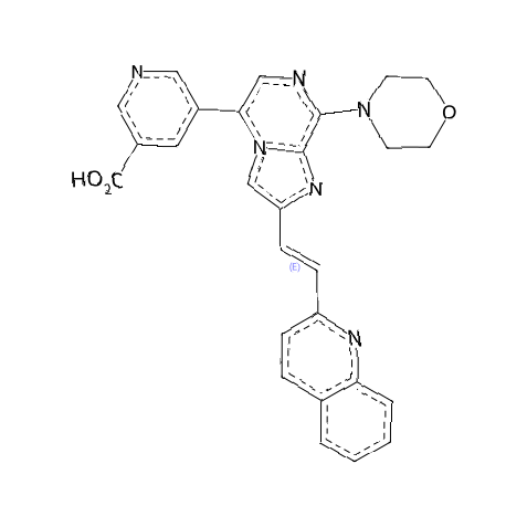 O=C(O)c1cncc(-c2cnc(N3CCOCC3)c3nc(/C=C/c4ccc5ccccc5n4)cn23)c1